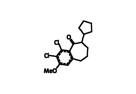 COc1cc2c(c(Cl)c1Cl)C(=O)C(C1CCCC1)CCC2